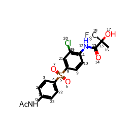 CC(=O)Nc1ccc(S(=O)(=O)c2ccc(NC(=O)[C@@](C)(O)C(F)(F)F)c(Cl)c2)cc1